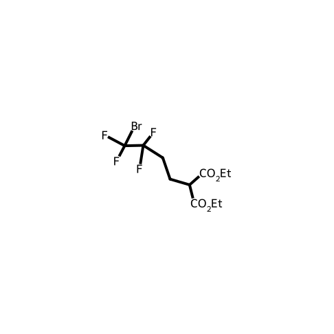 CCOC(=O)C(CCC(F)(F)C(F)(F)Br)C(=O)OCC